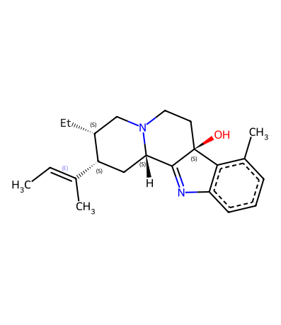 C/C=C(\C)[C@H]1C[C@H]2C3=Nc4cccc(C)c4[C@@]3(O)CCN2C[C@H]1CC